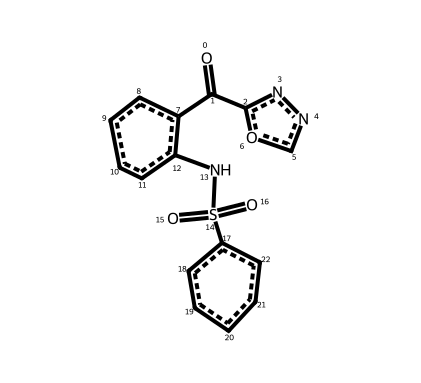 O=C(c1nnco1)c1ccccc1NS(=O)(=O)c1ccccc1